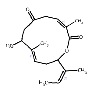 C/C=C(/C)C1C/C=C(\C)C(O)CC(=O)C/C=C(/C)C(=O)O1